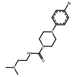 CN(C)CCNC(=O)N1CCN(c2ccc(Br)cc2)CC1